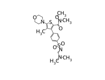 CON(C)C(=O)c1sc(N2CCOCC2)c(C)c1-c1ccc(S(=O)(=O)N=CN(C)C)cc1